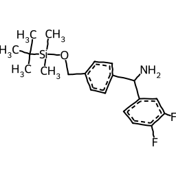 CC(C)(C)[Si](C)(C)OCc1ccc(C(N)c2ccc(F)c(F)c2)cc1